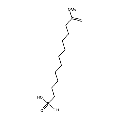 COC(=O)CCCCCCCCCCP(=O)(O)O